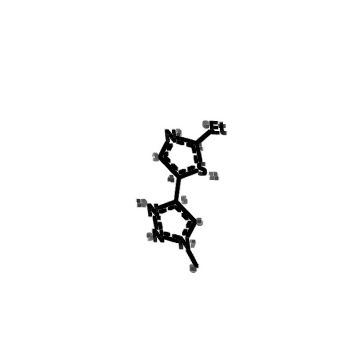 CCc1ncc(-c2cn(C)nn2)s1